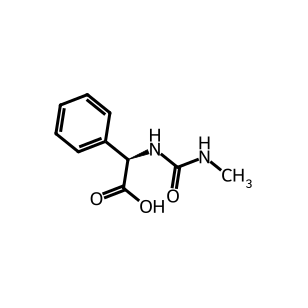 CNC(=O)N[C@@H](C(=O)O)c1ccccc1